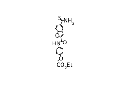 CCOC(=O)COc1ccc(NC(=O)c2cc3cc(C(N)=S)ccc3o2)cc1